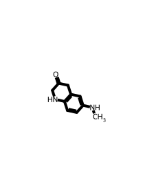 CNc1ccc2c(c1)CC(=O)CN2